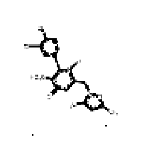 CCn1c(Cn2nc(C(F)(F)F)cc2C(F)(F)F)cc(=O)c(C(=O)O)c1-c1ccc(Cl)c(Cl)c1